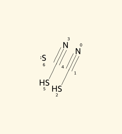 N#CS.N#CS.[S]